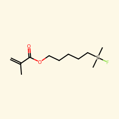 C=C(C)C(=O)OCCCCC[Si](C)(C)F